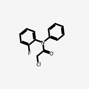 O=C(CCl)N(c1ccccc1)c1ccccc1F